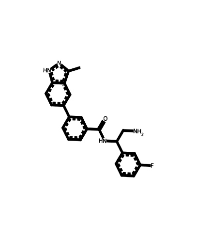 Cc1n[nH]c2ccc(-c3cccc(C(=O)NC(CN)c4cccc(F)c4)c3)cc12